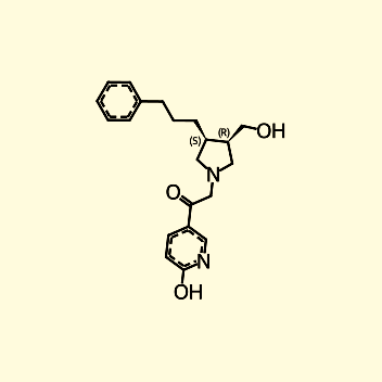 O=C(CN1C[C@@H](CCCc2ccccc2)[C@@H](CO)C1)c1ccc(O)nc1